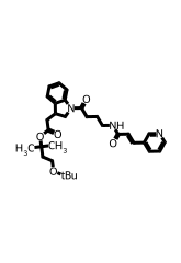 CC(C)(C)OCCC(C)(C)OC(=O)CC1CN(C(=O)CCCNC(=O)/C=C/c2cccnc2)c2ccccc21